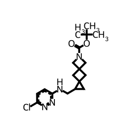 CC(C)(C)OC(=O)N1CC2(C1)CC1(CC1CNc1ccc(Cl)nn1)C2